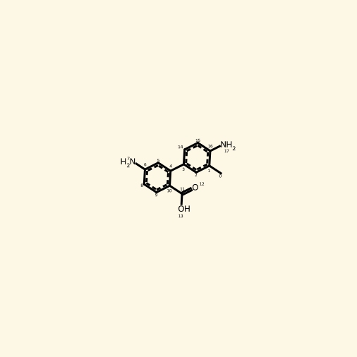 Cc1cc(-c2cc(N)ccc2C(=O)O)ccc1N